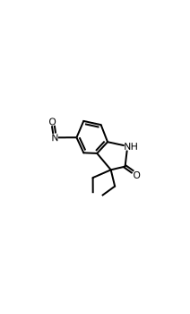 CCC1(CC)C(=O)Nc2ccc(N=O)cc21